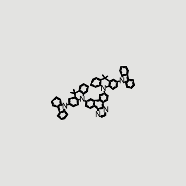 CC1(C)c2ccccc2N(c2ccc3c(c2)c2cc(N4c5ccccc5C(C)(C)c5cc(-n6c7ccccc7c7ccccc76)ccc54)ccc2c2nccnc32)c2ccc(-n3c4ccccc4c4ccccc43)cc21